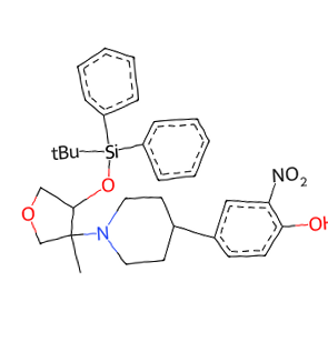 CC1(N2CCC(c3ccc(O)c([N+](=O)[O-])c3)CC2)COCC1O[Si](c1ccccc1)(c1ccccc1)C(C)(C)C